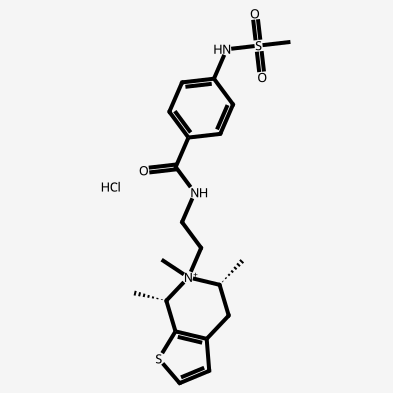 C[C@@H]1Cc2ccsc2[C@H](C)[N+]1(C)CCNC(=O)c1ccc(NS(C)(=O)=O)cc1.Cl